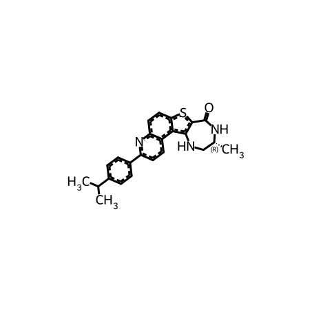 CC(C)c1ccc(-c2ccc3c(ccc4sc5c(c43)NC[C@@H](C)NC5=O)n2)cc1